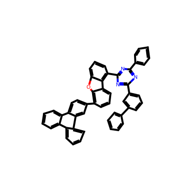 c1ccc(-c2cccc(-c3nc(-c4ccccc4)nc(-c4cccc5oc6c(-c7ccc8c9ccccc9c9ccccc9c8c7)cccc6c45)n3)c2)cc1